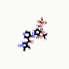 Cc1[nH]nc(C(=O)c2cnccc2N[C@@H]2C[C@H](COS(C)(=O)=O)[C@H]3OC(C)(C)O[C@H]32)c1C